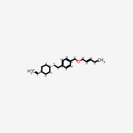 C=C[C@H]1CC[C@H](CCc2ccc(COCC=CCC)cc2)CC1